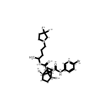 CC(CCCN1CCC(F)(F)C1)OC(=O)[C@H]1[C@H](C(=O)Nc2ccc(Br)nc2)[C@@H]2CC[C@H]1C21CC1